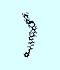 CCC(C(=O)NNC(=O)/C=C/c1ccccc1)[C@H]1CC[C@H](C)[C@H]([C@@H](C)[C@H](O)[C@H](C)C(=O)[C@H](CC)[C@H]2OO[C@@]34O[C@](C)([C@H]5CC[C@](O)(CC)[C@H](C)O5)C[C@@H]3CC(C=C[C@H]4OC(C)=O)C[C@@H]2C)O1